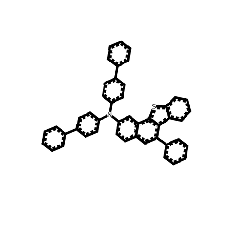 c1ccc(-c2ccc(N(c3ccc(-c4ccccc4)cc3)c3ccc4cc(-c5ccccc5)c5c6ccccc6sc5c4c3)cc2)cc1